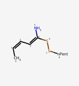 C/C=C\C=C(/N)SSCCCCC